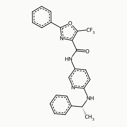 C[C@@H](Nc1ccc(NC(=O)c2nc(-c3ccccc3)oc2C(F)(F)F)cn1)c1ccccc1